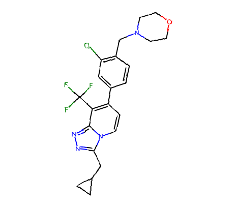 FC(F)(F)c1c(-c2ccc(CN3CCOCC3)c(Cl)c2)ccn2c(CC3CC3)nnc12